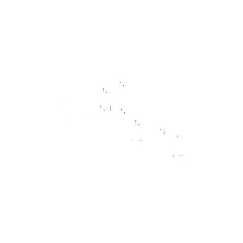 C=CC(=O)N1CCC(N(CC)c2ccc3ncnc(Nc4ccc(Cl)c(Cl)c4F)c3n2)C1